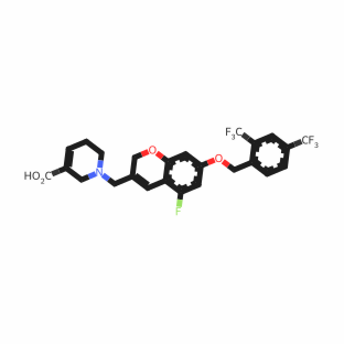 O=C(O)C1=CCCN(CC2=Cc3c(F)cc(OCc4ccc(C(F)(F)F)cc4C(F)(F)F)cc3OC2)C1